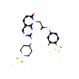 Cc1cc(NC(=O)Cn2c(=O)ccc3cnc(NC4CCN(S(C)(=O)=O)CC4)nc32)ccc1S(=O)(=O)F